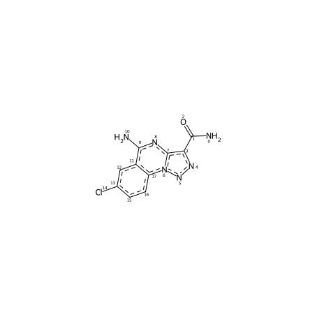 NC(=O)c1nnn2c1nc(N)c1cc(Cl)ccc12